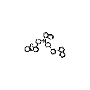 c1cc(-c2ccc(N(c3cccc(-c4cccc5c4oc4ccccc45)c3)c3cccc4ccccc34)cc2)cc(-c2cccc3ccccc23)c1